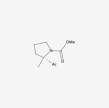 COC(=O)N1CCC[C@@]1(C)C(C)=O